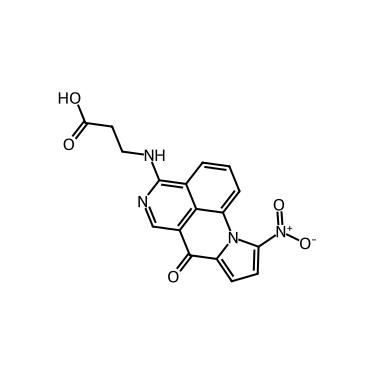 O=C(O)CCNc1ncc2c(=O)c3ccc([N+](=O)[O-])n3c3cccc1c23